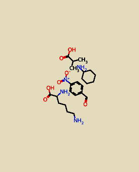 CC(C)C(=O)O.NC1CCCCC1.NCCCC[C@H](N)C(=O)O.O=Cc1ccc([N+](=O)[O-])cc1